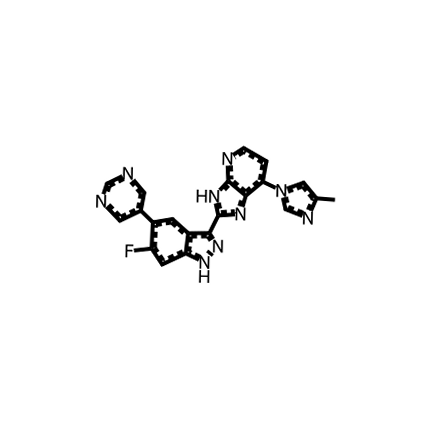 Cc1cn(-c2ccnc3[nH]c(-c4n[nH]c5cc(F)c(-c6cncnc6)cc45)nc23)cn1